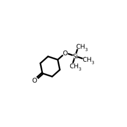 C[Si](C)(C)OC1CCC(=O)CC1